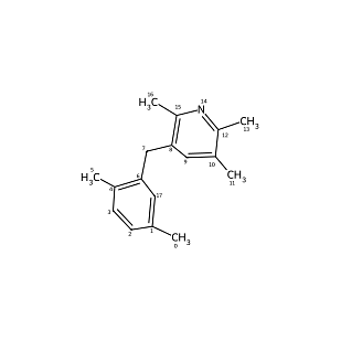 Cc1ccc(C)c(Cc2cc(C)c(C)nc2C)c1